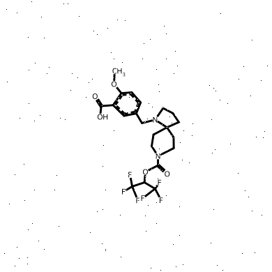 COc1ccc(CN2CCCC23CCN(C(=O)OC(C(F)(F)F)C(F)(F)F)CC3)cc1C(=O)O